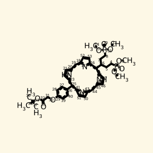 COP(=O)(CCC(CCP(=O)(OC)OC)c1c2nc(cc3ccc([nH]3)c(-c3ccc(OCC(=O)OC(C)(C)C)cc3)c3nc(cc4ccc1[nH]4)C=C3)C=C2)OC